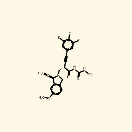 C=C=C1c2cc(OC)ccc2CN1C[C@H](C#Cc1cc(F)c(Cl)c(F)c1)C(=O)NC(=O)NC